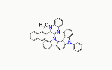 CN1c2ccccc2N=C(n2c3ccccc3c3ccc4c(c5ccccc5n4-c4ccccc4)c32)C1c1ccc2ccccc2c1